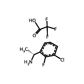 C[C@@H](N)c1cccc(Cl)c1F.O=C(O)C(F)(F)F